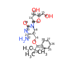 CC(C)(C)C(OCc1cn([C@H]2C[C@H](O)[C@@H](CO)O2)c(=O)nc1N)c1ccccc1